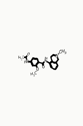 COc1cc(NC(C)=O)ccc1C(=O)Nc1cccc2c1CCN(C)C2